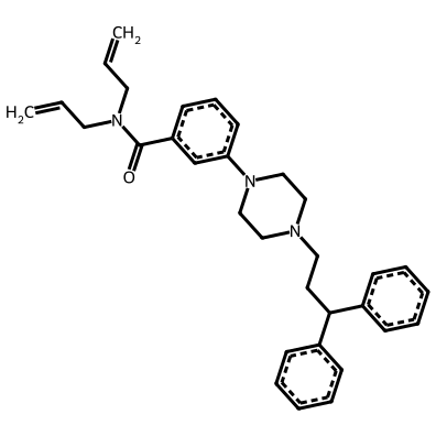 C=CCN(CC=C)C(=O)c1cccc(N2CCN(CCC(c3ccccc3)c3ccccc3)CC2)c1